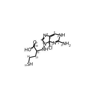 NC1=NC2(Cl)C(=CN1)N=CN2NC(CCS)C(=O)O